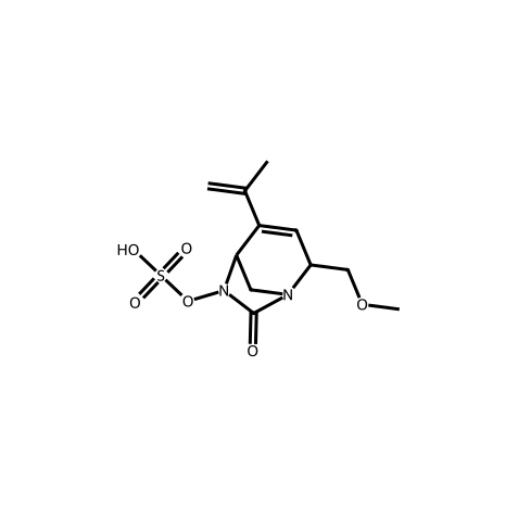 C=C(C)C1=CC(COC)N2CC1N(OS(=O)(=O)O)C2=O